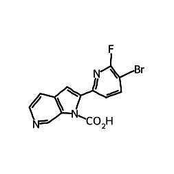 O=C(O)n1c(-c2ccc(Br)c(F)n2)cc2ccncc21